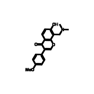 COc1ccc(-c2coc3c(CN(C)C)c(O)ccc3c2=O)cc1